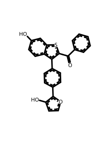 O=C(c1ccccc1)c1sc2cc(O)ccc2c1-c1ccc(-c2occc2O)cc1